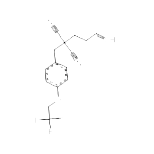 C=CCCC(C#N)(C#N)Cc1ccc(OCC(F)(F)F)cc1